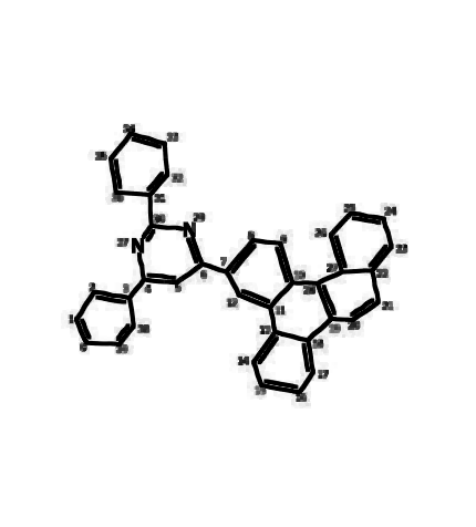 c1ccc(-c2cc(-c3ccc4c(c3)c3ccccc3c3ccc5ccccc5c34)nc(-c3ccccc3)n2)cc1